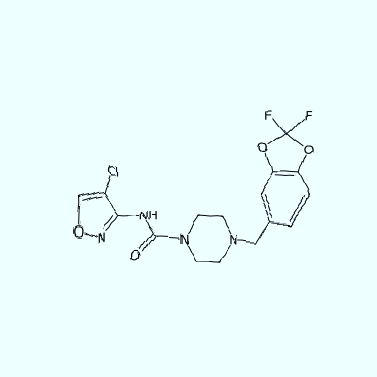 O=C(Nc1nocc1Cl)N1CCN(Cc2ccc3c(c2)OC(F)(F)O3)CC1